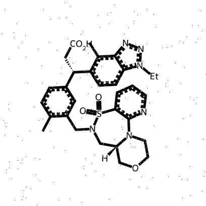 CCn1nnc2c(C)c([C@@H](CC(=O)O)c3ccc(C)c(CN4C[C@H]5COCCN5c5ncccc5S4(=O)=O)c3)ccc21